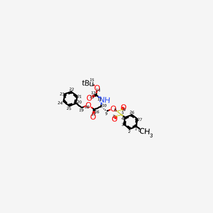 Cc1ccc(S(=O)(=O)OC[C@@H](NC(=O)OC(C)(C)C)C(=O)OCc2ccccc2)cc1